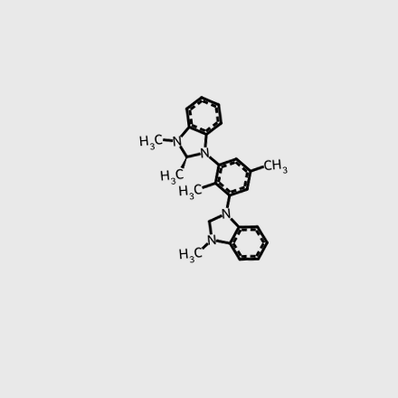 Cc1cc(N2CN(C)c3ccccc32)c(C)c(N2c3ccccc3N(C)[C@@H]2C)c1